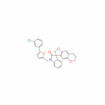 O=C1N(Cc2ccc(-c3cccc(Cl)c3)o2)c2ccccc2C12COc1cc3c(cc12)OCCC3